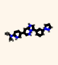 CN(C)c1ccc(-c2cnn3c(-c4cccc(-n5cccn5)c4)cnc3c2)cn1